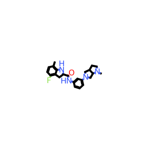 Cc1ccc(F)c2c1NC(C(=O)Nc1cccc(N3CC4CCN(C)C4C3)c1)C2